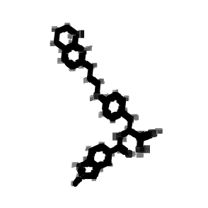 Cn1cc2cc(C(=O)N[C@@H](Cc3ccc(OCCCc4ccc5c(n4)NCCC5)cc3)C(=O)O)ccc2n1